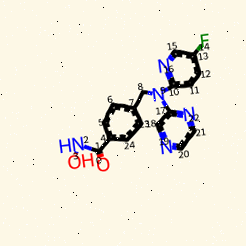 O=C(NO)c1ccc(CN(c2ccc(F)cn2)c2cnccn2)cc1